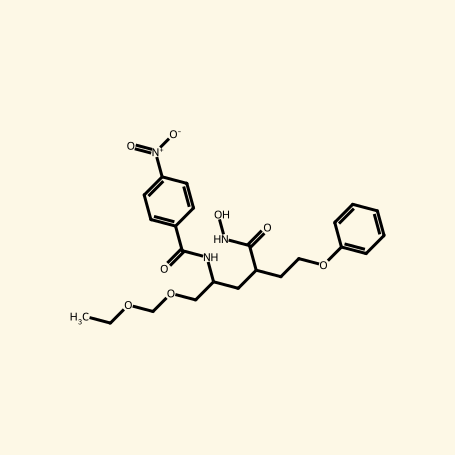 CCOCOCC(CC(CCOc1ccccc1)C(=O)NO)NC(=O)c1ccc([N+](=O)[O-])cc1